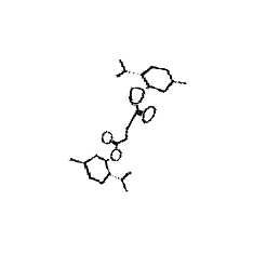 CC(C)[C@@H]1CC[C@@H](C)C[C@@H]1OC(=O)CCC(=O)O[C@@H]1C[C@H](C)CC[C@H]1C(C)C